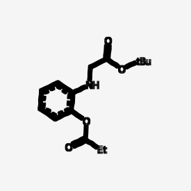 CCC(=O)Oc1ccccc1NCC(=O)OC(C)(C)C